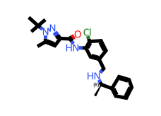 Cc1cc(C(=O)Nc2cc(CN[C@H](C)c3ccccc3)ccc2Cl)nn1C(C)(C)C